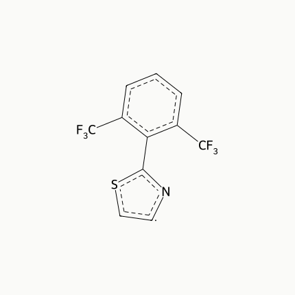 FC(F)(F)c1cccc(C(F)(F)F)c1-c1n[c]cs1